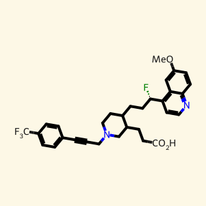 COc1ccc2nccc([C@@H](F)CCC3CCN(CC#Cc4ccc(C(F)(F)F)cc4)CC3CCC(=O)O)c2c1